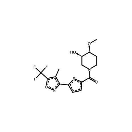 CO[C@H]1CCN(C(=O)c2ccc(-c3noc(C(F)(F)F)c3C)s2)C[C@H]1O